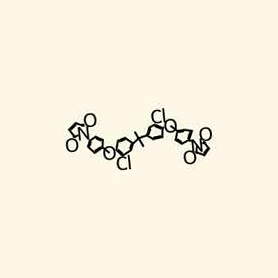 CC(C)(c1ccc(Oc2ccc(N3C(=O)C=CC3=O)cc2)c(Cl)c1)c1ccc(Oc2ccc(N3C(=O)C=CC3=O)cc2)c(Cl)c1